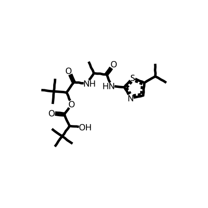 CC(NC(=O)C(OC(=O)C(O)C(C)(C)C)C(C)(C)C)C(=O)Nc1ncc(C(C)C)s1